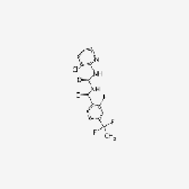 CC(F)(F)c1ccc(C(=O)NC(=O)Nc2ncccc2Cl)c(F)c1